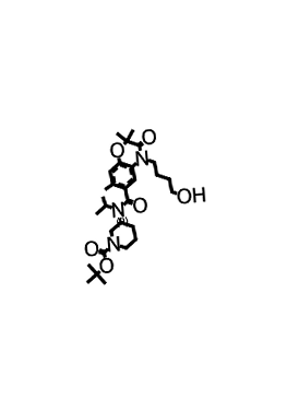 Cc1cc2c(cc1C(=O)N(C(C)C)[C@@H]1CCCN(C(=O)OC(C)(C)C)C1)N(CCCCO)C(=O)C(C)(C)O2